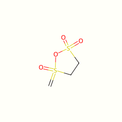 C=S1(=O)CCS(=O)(=O)O1